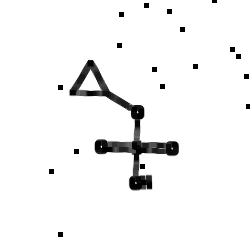 O=S(=O)(O)OC1CC1